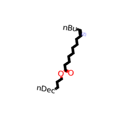 CCCC/C=C\CCCCCCCC(=O)OCCCCCCCCCCCCC